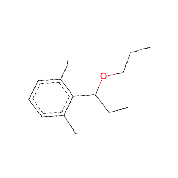 CCCOC(CC)c1c(C)cccc1C